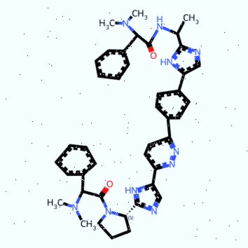 CC(NC(=O)C(c1ccccc1)N(C)C)c1ncc(-c2ccc(-c3ccc(-c4cnc([C@@H]5CCCN5C(=O)C(c5ccccc5)N(C)C)[nH]4)nn3)cc2)[nH]1